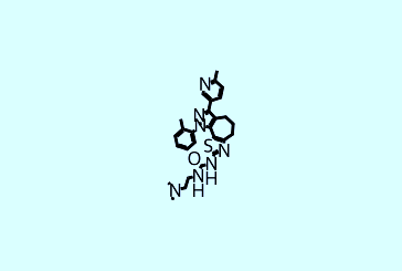 Cc1ccc(-c2nn(-c3ccccc3C)c3c2CCCc2nc(NC(=O)NCCN(C)C)sc2-3)cn1